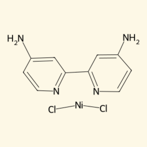 Nc1ccnc(-c2cc(N)ccn2)c1.[Cl][Ni][Cl]